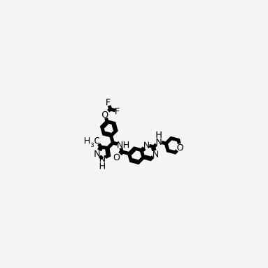 Cc1n[nH]cc1C(NC(=O)c1ccc2cnc(NC3CCOCC3)nc2c1)c1ccc(OC(F)F)cc1